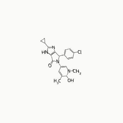 CC1=CC(N2C(=O)c3[nH]c(C4CC4)nc3C2c2ccc(Cl)cc2)=CN(C)C1O